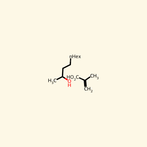 C=C(C)C(=O)O.CCCCCCCCC(C)O